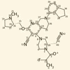 C=C(F)C(=O)N1CCN(c2c(C#N)c(OC[C@@H]3CCCN3C)nc3c2CCN(c2cccc4c2CCC4)C3)C[C@@H]1CC#N